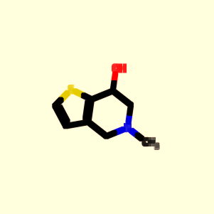 CN1Cc2ccsc2C(O)C1